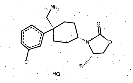 CC(C)[C@H]1COC(=O)N1[C@H]1CC[C@](CN)(c2cccc(Cl)c2)CC1.Cl